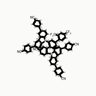 N#Cc1ccc(-c2ccc3c(c2)c2cc(-c4ccc(C#N)cc4)ccc2n3-c2ccc(C#N)cc2-c2ccc(-c3ccc(C(F)(F)F)cc3C(F)(F)F)cc2-n2c3ccc(-c4ccc(C#N)cc4)cc3c3cc(-c4ccc(C#N)cc4)ccc32)cc1